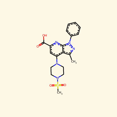 Cc1nn(-c2ccccc2)c2nc(C(=O)O)cc(N3CCN(S(C)(=O)=O)CC3)c12